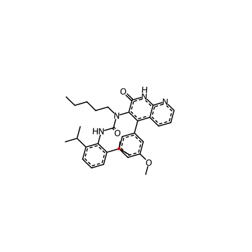 CCCCCN(C(=O)Nc1c(C(C)C)cccc1C(C)C)c1c(-c2cccc(OC)c2)c2cccnc2[nH]c1=O